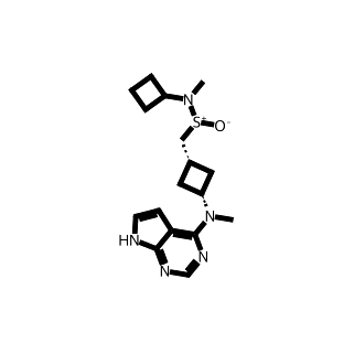 CN(C1CCC1)[S+]([O-])C[C@H]1C[C@@H](N(C)c2ncnc3[nH]ccc23)C1